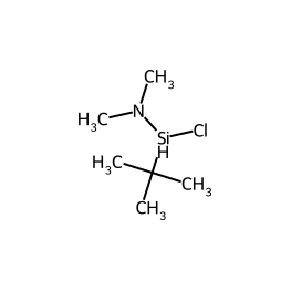 CN(C)[SiH](Cl)C(C)(C)C